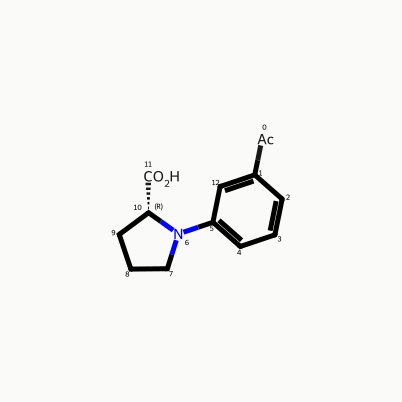 CC(=O)c1cccc(N2CCC[C@@H]2C(=O)O)c1